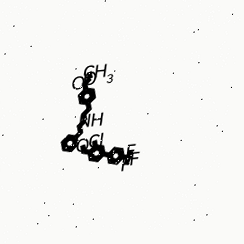 COC(=O)c1ccc(CCNCCc2ccccc2OCc2ccc(-c3ccc(C(F)(F)F)cc3)cc2Cl)cc1